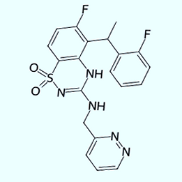 CC(c1ccccc1F)c1c(F)ccc2c1NC(NCc1cccnn1)=NS2(=O)=O